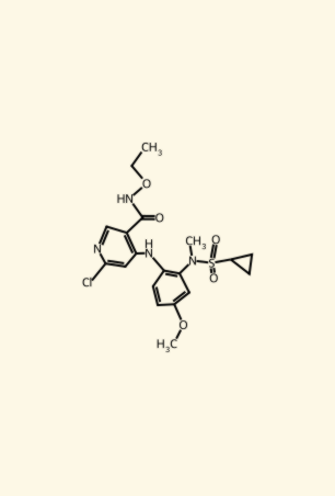 CCONC(=O)c1cnc(Cl)cc1Nc1ccc(OC)cc1N(C)S(=O)(=O)C1CC1